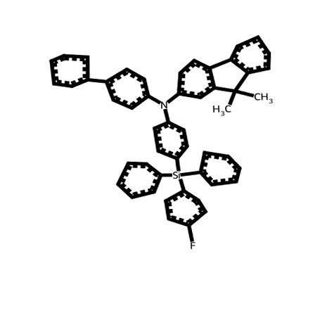 CC1(C)c2ccccc2-c2ccc(N(c3ccc(-c4ccccc4)cc3)c3ccc([Si](c4ccccc4)(c4ccccc4)c4ccc(F)cc4)cc3)cc21